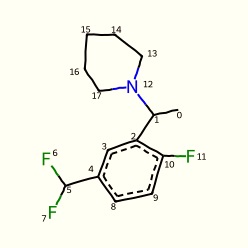 CC(c1cc(C(F)F)ccc1F)N1CCCCC1